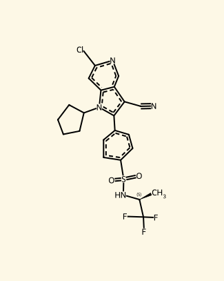 C[C@H](NS(=O)(=O)c1ccc(-c2c(C#N)c3cnc(Cl)cc3n2C2CCCC2)cc1)C(F)(F)F